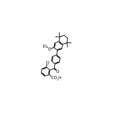 CCOc1cc2c(cc1-c1ccc(C(=O)c3c(Cl)cccc3C(=O)O)cc1)C(C)(C)CCC2(C)C